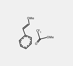 COC(=O)C(F)(F)F.COC=Cc1ccccc1